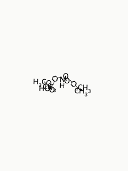 CC(C)OC(Cc1cccc(CNC(=O)OCc2ccc(C(C)C)cc2)c1)C(=O)O